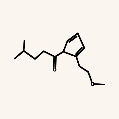 COCCC1=CC=CC1C(=O)CCC(C)C